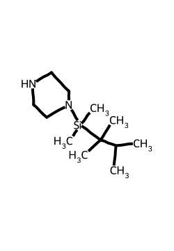 CC(C)C(C)(C)[Si](C)(C)N1CCNCC1